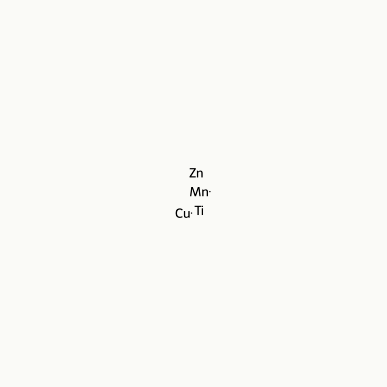 [Cu].[Mn].[Ti].[Zn]